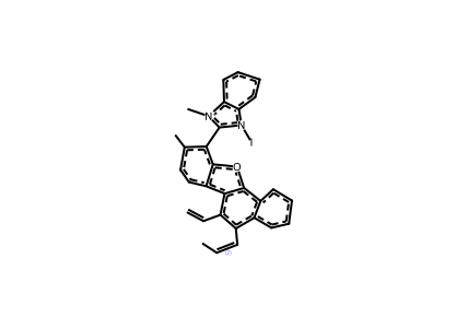 C=Cc1c(/C=C\C)c2ccccc2c2oc3c(-c4n(I)c5ccccc5[n+]4C)c(C)ccc3c12